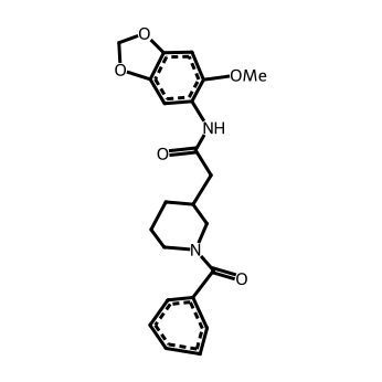 COc1cc2c(cc1NC(=O)CC1CCCN(C(=O)c3ccccc3)C1)OCO2